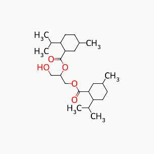 CC1CCC(C(C)C)C(C(=O)OCC(CO)OC(=O)C2CC(C)CCC2C(C)C)C1